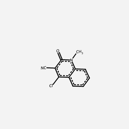 Cn1c(=O)c(C#N)c(Cl)c2ccccc21